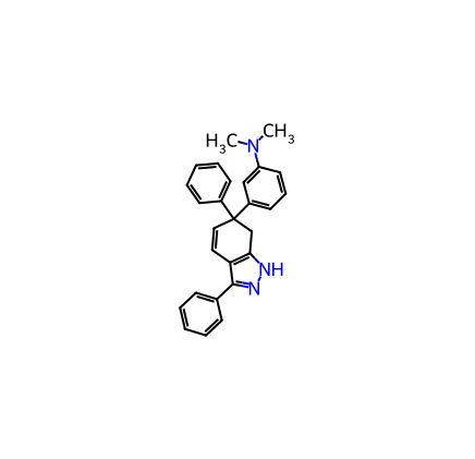 CN(C)c1cccc(C2(c3ccccc3)C=Cc3c(-c4ccccc4)n[nH]c3C2)c1